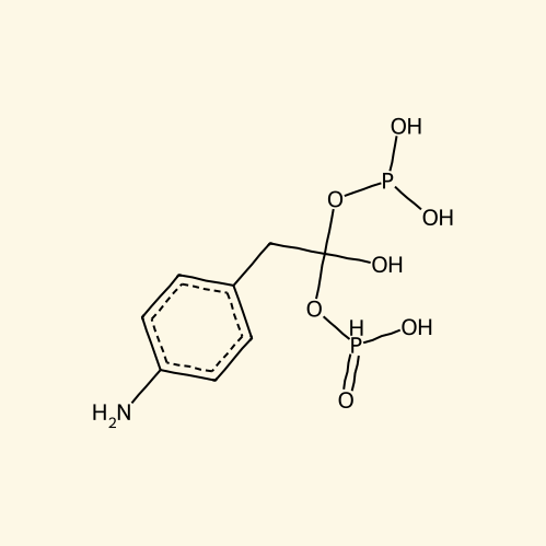 Nc1ccc(CC(O)(OP(O)O)O[PH](=O)O)cc1